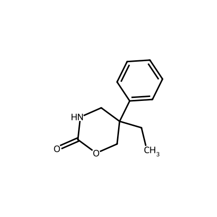 CCC1(c2ccccc2)CNC(=O)OC1